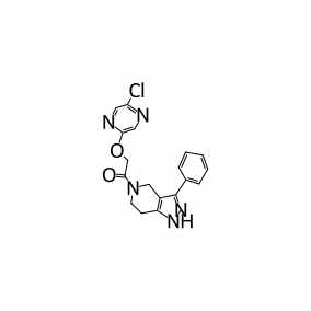 O=C(COc1cnc(Cl)cn1)N1CCc2[nH]nc(-c3ccccc3)c2C1